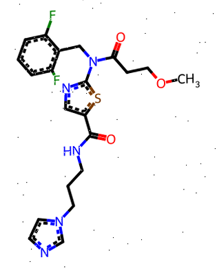 COCCC(=O)N(Cc1c(F)cccc1F)c1ncc(C(=O)NCCCn2ccnc2)s1